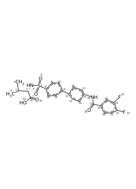 CC(C)[C@H](NS(=O)(=O)c1ccc(-c2ccc(NC(=O)c3ccc(F)c(F)c3)cc2)cc1)C(=O)O